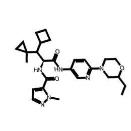 CCC1CN(c2ccc(NC(=O)[C@@H](NC(=O)c3ccnn3C)C(C3CCC3)C3(C)CC3)cn2)CCO1